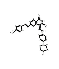 CN1CCN(c2ccc(NC=C3C(=O)NC(=O)c4ccc(C=Cc5ccc(N)cc5)cc43)cc2)CC1